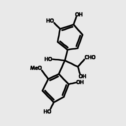 COc1cc(O)cc(O)c1C(O)(c1ccc(O)c(O)c1)C(O)C=O